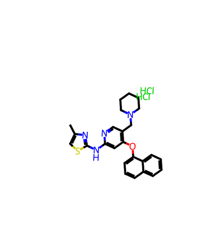 Cc1csc(Nc2cc(Oc3cccc4ccccc34)c(CN3CCCCC3)cn2)n1.Cl.Cl